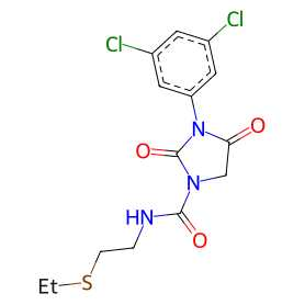 CCSCCNC(=O)N1CC(=O)N(c2cc(Cl)cc(Cl)c2)C1=O